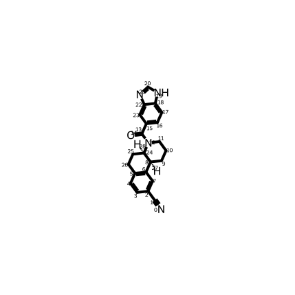 N#Cc1ccc2c(c1)[C@@H]1CCCN(C(=O)c3ccc4[nH]cnc4c3)[C@@H]1CC2